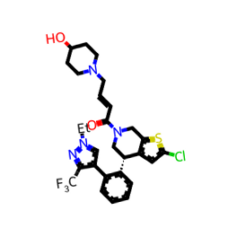 CCn1cc(-c2ccccc2[C@@H]2CN(C(=O)/C=C/CN3CCC(O)CC3)Cc3sc(Cl)cc32)c(C(F)(F)F)n1